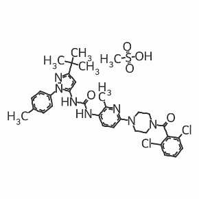 CS(=O)(=O)O.Cc1ccc(-n2nc(C(C)(C)C)cc2NC(=O)Nc2ccc(N3CCN(C(=O)c4c(Cl)cccc4Cl)CC3)nc2C)cc1